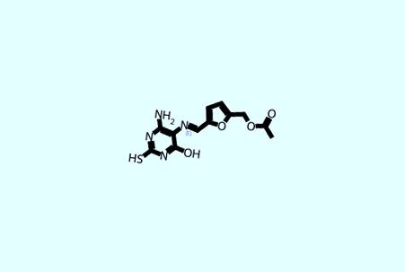 CC(=O)OCc1ccc(/C=N/c2c(N)nc(S)nc2O)o1